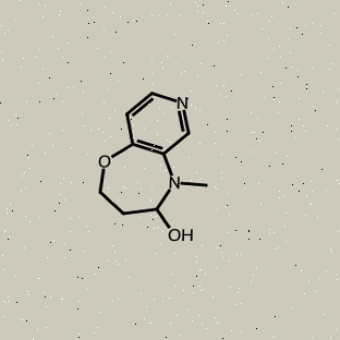 CN1c2cnccc2OCCC1O